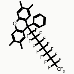 Cc1cc2c(cc1C)C(c1ccccc1)(C(F)(F)C(F)(F)C(F)(F)C(F)(F)C(F)(F)C(F)(F)C(F)(F)C(F)(F)F)c1cc(C)c(C)cc1O2